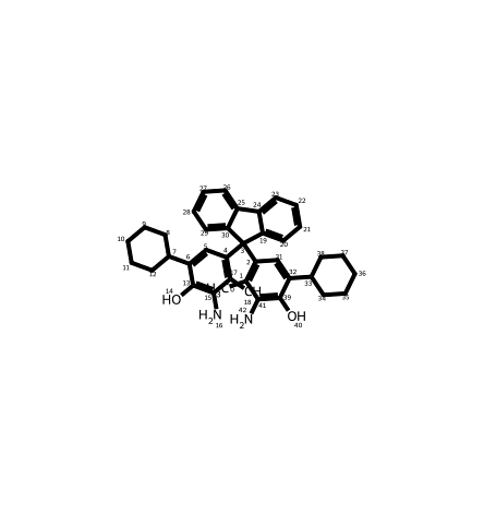 Cc1c(C2(c3cc(C4CCCCC4)c(O)c(N)c3C)c3ccccc3-c3ccccc32)cc(C2CCCCC2)c(O)c1N